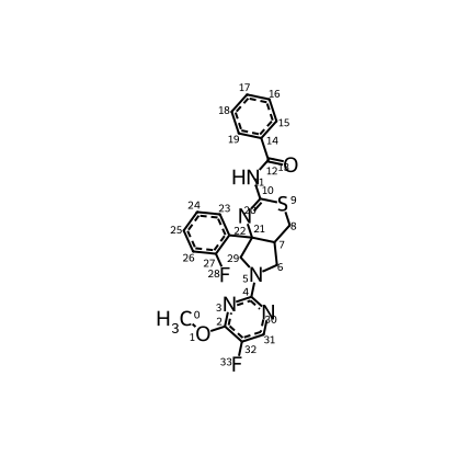 COc1nc(N2CC3CSC(NC(=O)c4ccccc4)=NC3(c3ccccc3F)C2)ncc1F